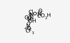 C[C@@H]1CN(C(=O)O)[C@@H](c2ccc(-n3c(Cl)cc4c(=O)n(CC5(O)CCN(C(=O)[C@]6(C)C[C@H]6C(F)(F)F)CC5)cnc43)cc2)CO1